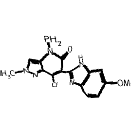 COc1ccc2nc(-c3c(Cl)c4nn(C)cc4n(P)c3=O)[nH]c2c1